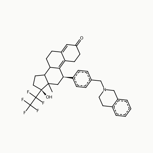 CC12C[C@H](c3ccc(CN4CCc5ccccc5C4)cc3)C3=C4CCC(=O)C=C4CCC3C1CC[C@@]2(O)C(F)(F)C(F)(F)F